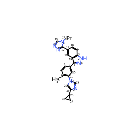 Cc1ccc(-c2n[nH]c3ccc(-c4nncn4C(C)C)cc23)cc1-n1cnc(C2CC2)c1